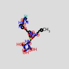 Cc1ccc(CCCC(=O)NCCCCC[C@H](CNC(=O)CN2CCN(CC(=O)O)CCN(CC(=O)O)CCN(CC(=O)O)CC2)SC2CC(=O)N(CC(=O)N3CCC(CCCOc4ccc5nccc(C(=O)NCC(=O)N6CC(F)(F)C[C@@H]6C#N)c5c4)CC3)C2=O)cc1